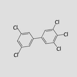 Clc1cc(Cl)cc(-c2cc(Cl)c(Cl)c(Cl)c2)c1